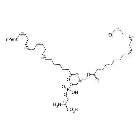 CC/C=C\C/C=C\C/C=C\CCCCCCCC(=O)OC[C@H](COP(=O)(O)OC[C@H](N)C(=O)O)OC(=O)CCCCC/C=C\C/C=C\C/C=C\C/C=C\CCCCC